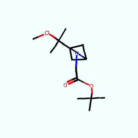 COC(C)(C)C12CC(C1)N(C(=O)OC(C)(C)C)C2